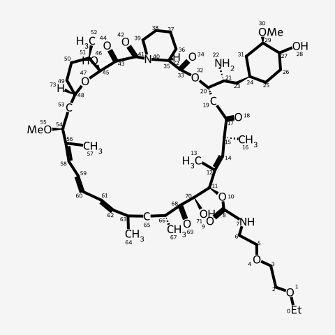 CCOCCOCCNC(=O)O[C@@H]1/C(C)=C/[C@@H](C)C(=O)C[C@@H]([C@H](N)C[C@@H]2CCC(O)[C@H](OC)C2)OC(=O)[C@@H]2CCCCN2C(=O)C(=O)[C@]2(O)O[C@@H](CC[C@H]2C)C[C@H](OC)/C(C)=C/C=C/C=C/C(C)C[C@@H](C)C(=O)[C@@H]1O